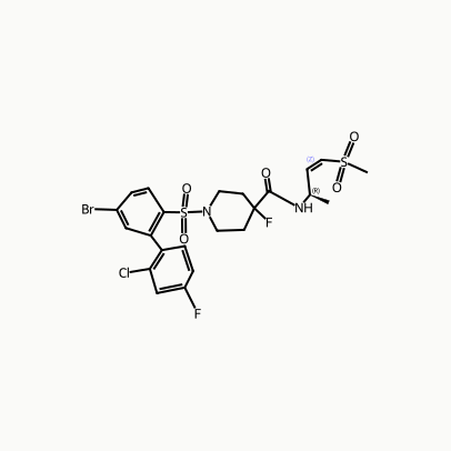 C[C@H](/C=C\S(C)(=O)=O)NC(=O)C1(F)CCN(S(=O)(=O)c2ccc(Br)cc2-c2ccc(F)cc2Cl)CC1